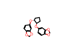 c1cc2c(cc1O[C@@H]1CCC[C@H]1Oc1ccc3c(c1)OCO3)OCO2